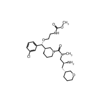 COC(=O)NCCO[C@@H](c1cccc(Cl)c1)[C@@H]1CCCN(C(=O)N(C)C[C@@H](N)C[C@H]2CCCOC2)C1